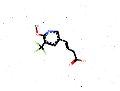 COc1ncc(C=CCC(=O)O)cc1C(F)(F)F